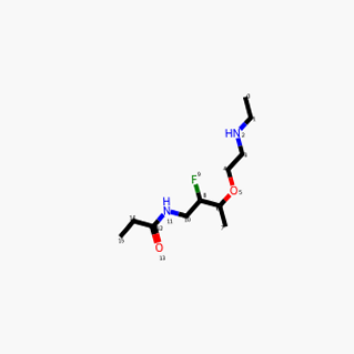 CCNCCOC(C)C(F)CNC(=O)CC